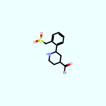 CCC(=O)C1CCNC(c2ccccc2C[SH](=O)=O)C1